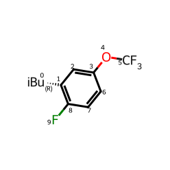 CC[C@@H](C)c1cc(OC(F)(F)F)ccc1F